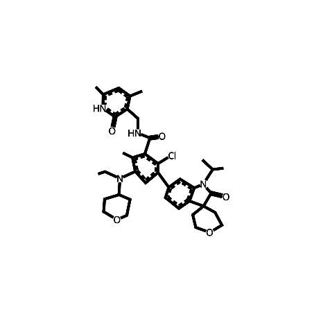 CCN(c1cc(-c2ccc3c(c2)N(C(C)C)C(=O)C32CCOCC2)c(Cl)c(C(=O)NCc2c(C)cc(C)[nH]c2=O)c1C)C1CCOCC1